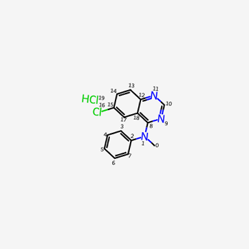 CN(c1ccccc1)c1ncnc2ccc(Cl)cc12.Cl